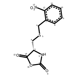 O=C1N[C@@H](CSCc2ccccc2[N+](=O)[O-])C(=O)O1